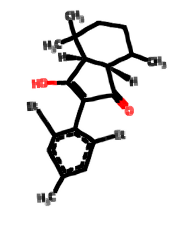 CCc1cc(C)cc(CC)c1C1=C(O)[C@H]2[C@@H](C1=O)C(C)CCC2(C)C